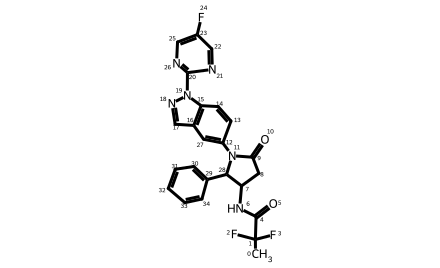 CC(F)(F)C(=O)NC1CC(=O)N(c2ccc3c(cnn3-c3ncc(F)cn3)c2)C1c1ccccc1